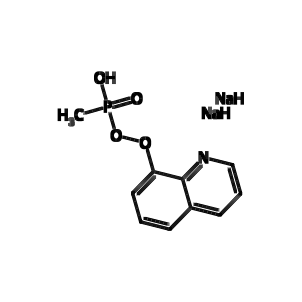 CP(=O)(O)OOc1cccc2cccnc12.[NaH].[NaH]